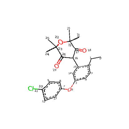 CCc1ccc(Oc2ccc(Cl)cc2)cc1C1C(=O)C(C)(C)OC(C)(C)C1=O